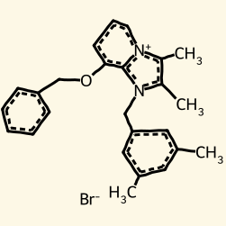 Cc1cc(C)cc(Cn2c(C)c(C)[n+]3cccc(OCc4ccccc4)c23)c1.[Br-]